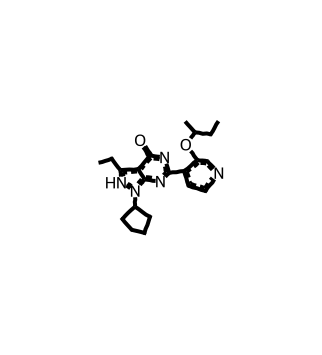 CCc1[nH]n(C2CCCC2)c2nc(-c3ccncc3OC(C)CC)nc(=O)c1-2